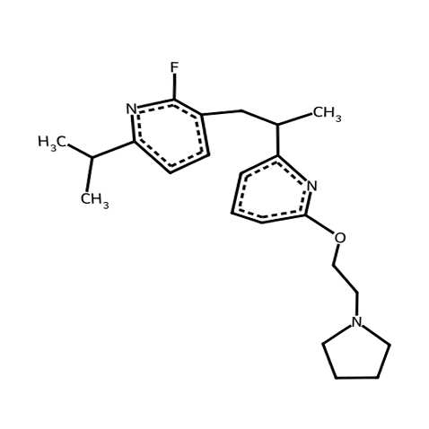 CC(C)c1ccc(CC(C)c2cccc(OCCN3CCCC3)n2)c(F)n1